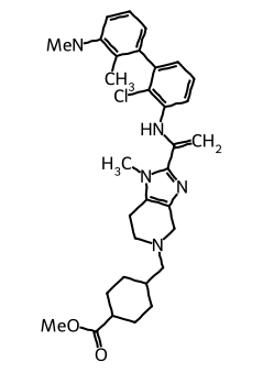 C=C(Nc1cccc(-c2cccc(NC)c2C)c1Cl)c1nc2c(n1C)CCN(CC1CCC(C(=O)OC)CC1)C2